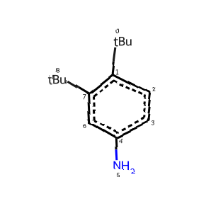 CC(C)(C)c1ccc(N)cc1C(C)(C)C